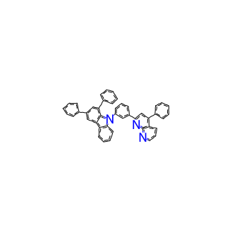 c1ccc(-c2cc(-c3ccccc3)c3c(c2)c2ccccc2n3-c2cccc(-c3cc(-c4ccccc4)c4cccnc4n3)c2)cc1